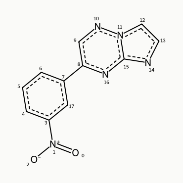 O=[N+]([O-])c1cccc(-c2cnn3ccnc3n2)c1